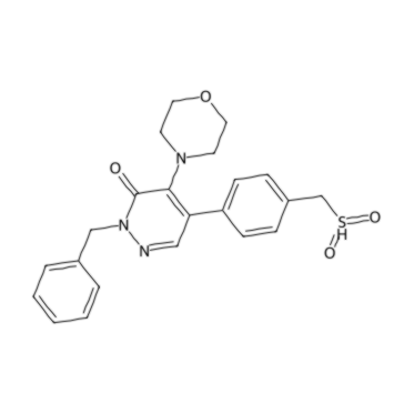 O=c1c(N2CCOCC2)c(-c2ccc(C[SH](=O)=O)cc2)cnn1Cc1ccccc1